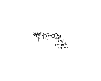 COC[C@@H]1CN[C@H](c2ncc(-c3ccc(-c4ccc5c(ccc6nc([C@@H]7CC[C@H](C)N7C(=O)[C@@H](NC(=O)OC)C(C)C)[nH]c65)c4)c4c3CCC4)[nH]2)C1